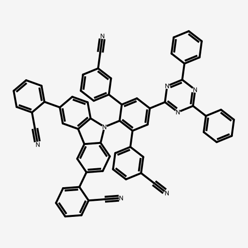 N#Cc1cccc(-c2cc(-c3nc(-c4ccccc4)nc(-c4ccccc4)n3)cc(-c3cccc(C#N)c3)c2-n2c3ccc(-c4ccccc4C#N)cc3c3cc(-c4ccccc4C#N)ccc32)c1